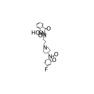 O=C1c2ccccc2S(O)(O)N1CCCCN1CCC(n2c(=O)oc3cc(F)ccc32)CC1